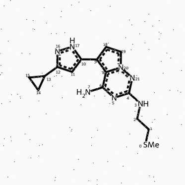 CSCCNc1nc(N)c2c(-c3cc(C4CC4)n[nH]3)ccn2n1